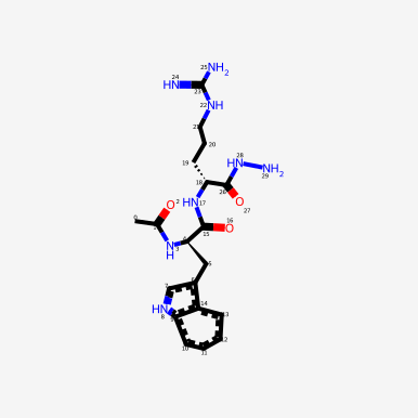 CC(=O)N[C@H](Cc1c[nH]c2ccccc12)C(=O)N[C@H](CCCNC(=N)N)C(=O)NN